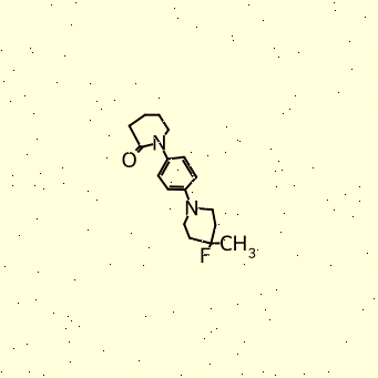 CC1(F)CCN(c2ccc(N3CCCCC3=O)cc2)CC1